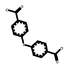 O=C(Cl)c1ccc(Sc2ccc(C(=O)Cl)cc2)cc1